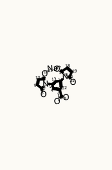 O=C([O-])c1cc(N2C(=O)C=CC2=O)cc(N2C(=O)C=CC2=O)c1.[Na+]